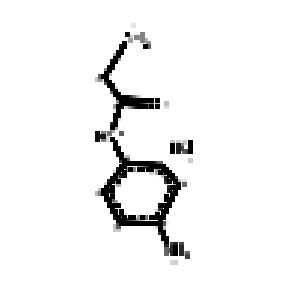 Cl.NCC(=O)Nc1ccc(N)cc1